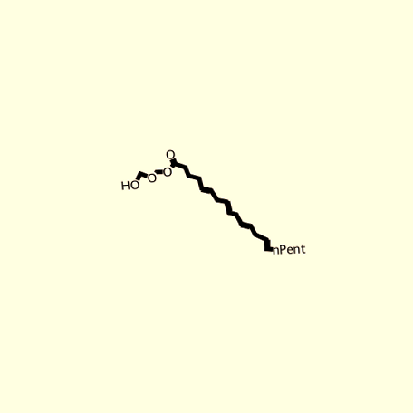 CCCCCC=CCC=CCC=CCC=CCCCC(=O)OCOCO